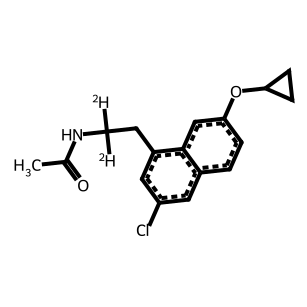 [2H]C([2H])(Cc1cc(Cl)cc2ccc(OC3CC3)cc12)NC(C)=O